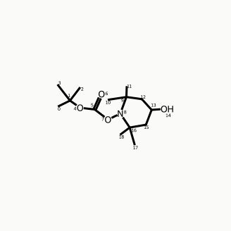 CC(C)(C)OC(=O)ON1C(C)(C)CC(O)CC1(C)C